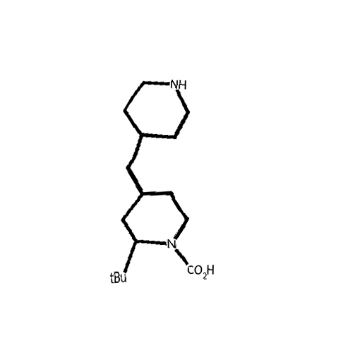 CC(C)(C)C1CC(CC2CCNCC2)CCN1C(=O)O